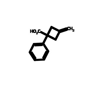 C=C1CC(C(=O)O)(c2ccccc2)C1